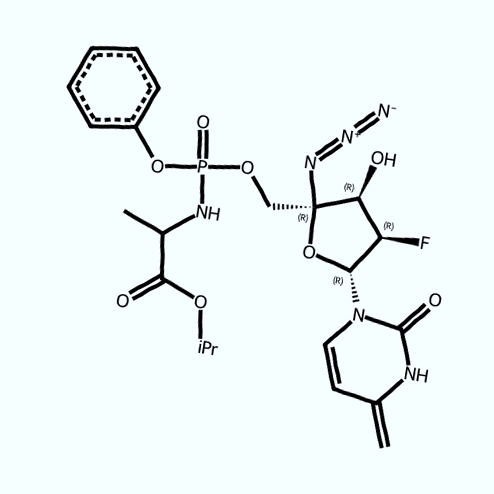 C=C1C=CN([C@@H]2O[C@@](COP(=O)(NC(C)C(=O)OC(C)C)Oc3ccccc3)(N=[N+]=[N-])[C@@H](O)[C@H]2F)C(=O)N1